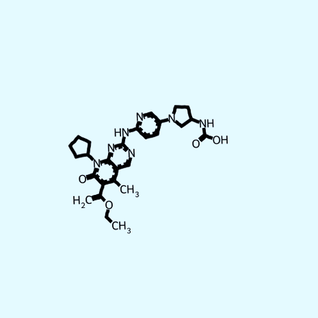 C=C(OCC)c1c(C)c2cnc(Nc3ccc(N4CCC(NC(=O)O)C4)cn3)nc2n(C2CCCC2)c1=O